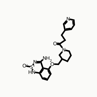 NC1=N[S+]([O-])Nc2cccc(OCC3CCCN(C(=O)CCc4cccnc4)C3)c21